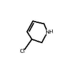 ClC1C=CCNC1